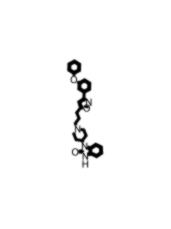 O=c1[nH]c2ccccc2n1C1CCN(CCCc2cc(-c3cccc(Oc4ccccc4)c3)no2)CC1